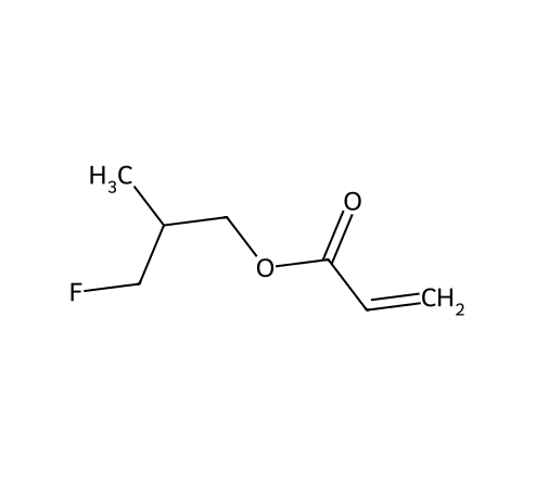 C=CC(=O)OCC(C)CF